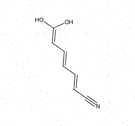 N#CC=CC=CC=C(O)O